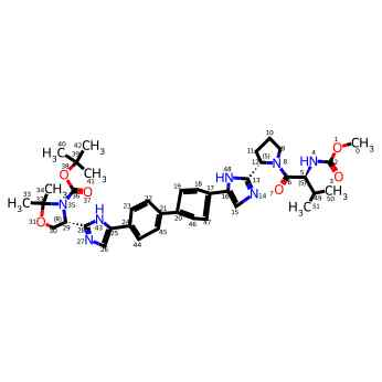 COC(=O)N[C@H](C(=O)N1CCC[C@H]1c1ncc(-c2ccc(-c3ccc(-c4cnc([C@@H]5COC(C)(C)N5C(=O)OC(C)(C)C)[nH]4)cc3)cc2)[nH]1)C(C)C